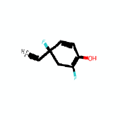 C=CC1(F)C=CC(O)=C(F)C1